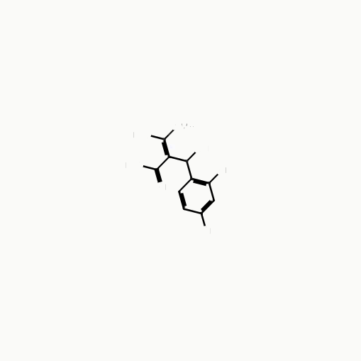 C=C(C)/C(=C(\C)SC)C(C)c1ccc(C)cc1C